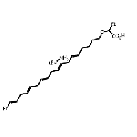 CC(C)(C)N.CCC=CCC=CCC=CCC=CCC=CCCCCOC(CC)C(=O)O